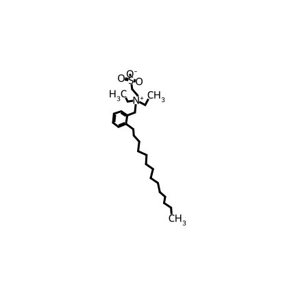 CCCCCCCCCCCCCCc1ccccc1C[N+](CC)(CC)CCS(=O)(=O)[O-]